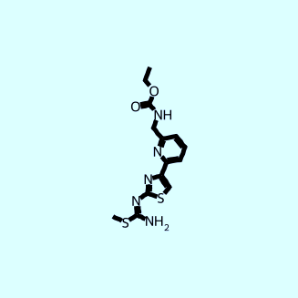 CCOC(=O)NCc1cccc(-c2csc(/N=C(\N)SC)n2)n1